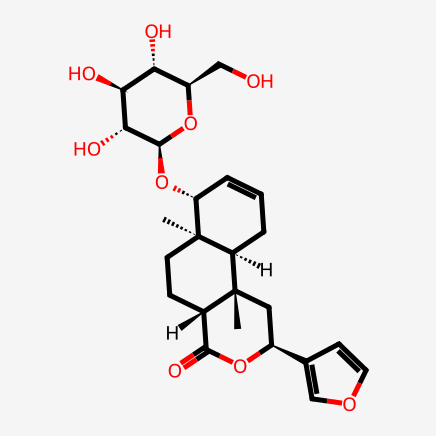 C[C@@]12C[C@@H](c3ccoc3)OC(=O)[C@@H]1CC[C@]1(C)[C@H]2CC=C[C@H]1O[C@@H]1O[C@H](CO)[C@@H](O)[C@H](O)[C@H]1O